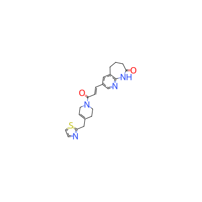 O=C1CCCc2cc(/C=C/C(=O)N3CC=C(Cc4nccs4)CC3)cnc2N1